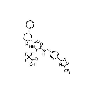 CC(NC(=O)[C@H]1C[C@@H](c2ccccc2)CCN1)C(=O)NCc1ccc(-c2noc(C(F)(F)F)n2)cc1.O=C(O)C(F)(F)F